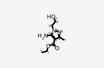 CCOC(=O)c1c(C)nn(CCO)c1N